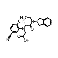 CCN(C(=O)CN(CC(=O)O)c1cc(C#N)ccc1C)N1Cc2ccccc2C1